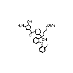 COCCCCC(O)(c1ccccc1Oc1ccccc1F)C1CCCN(C(=O)C2CC(N)C(O)C2)C1